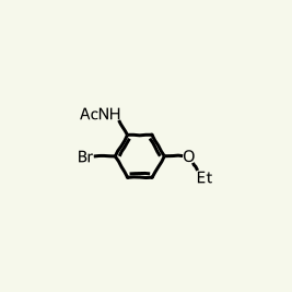 CCOc1ccc(Br)c(NC(C)=O)c1